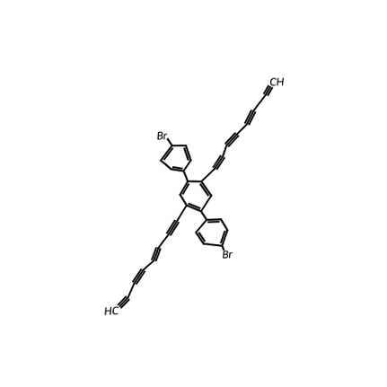 C#CC#CC#CC#Cc1cc(-c2ccc(Br)cc2)c(C#CC#CC#CC#C)cc1-c1ccc(Br)cc1